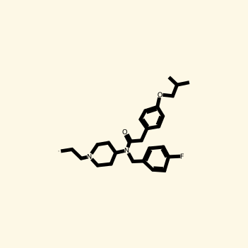 [CH2]CCN1CCC(N(Cc2ccc(F)cc2)C(=O)Cc2ccc(OCC(C)C)cc2)CC1